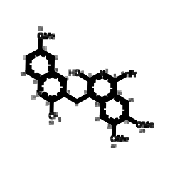 CCCc1nc(O)c(Cc2cc3cc(OC)ccc3nc2C(F)(F)F)c2cc(OC)c(OC)cc12